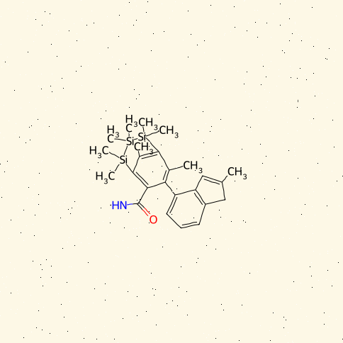 CC1=Cc2c(cccc2-c2c(C)c3c(C)c(c2C([NH])=O)[Si](C)(C)[Si](C)(C)[Si]3(C)C)C1